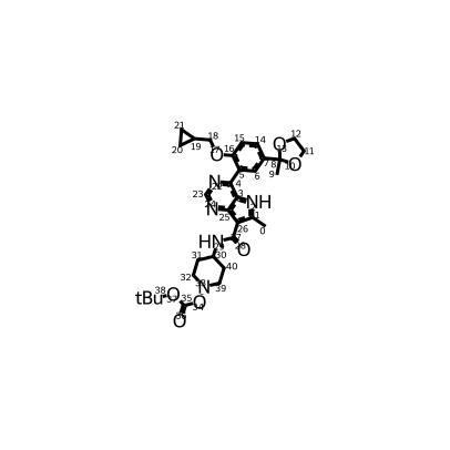 Cc1[nH]c2c(-c3cc(C4(C)OCCO4)ccc3OCC3CC3)ncnc2c1C(=O)NC1CCN(OC(=O)OC(C)(C)C)CC1